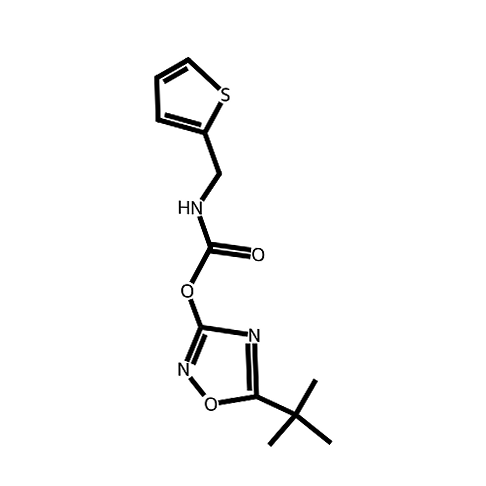 CC(C)(C)c1nc(OC(=O)NCc2cccs2)no1